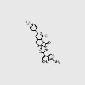 CC=C(C(=O)N[C@@H]1C(=O)N2C(C(=O)[O-])=C(CSc3cc[n+](C)cc3)CS[C@@H]12)c1csc(N)n1